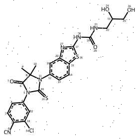 [C-]#[N+]c1ccc(N2C(=O)C(C)(C)N(c3ccc4sc(NC(=O)NCC(O)CO)nc4c3)C2=S)cc1Cl